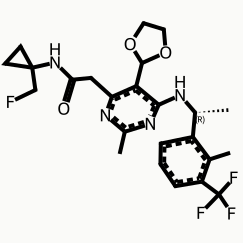 Cc1nc(CC(=O)NC2(CF)CC2)c(C2OCCO2)c(N[C@H](C)c2cccc(C(F)(F)F)c2C)n1